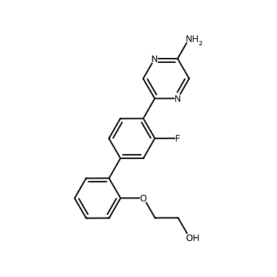 Nc1cnc(-c2ccc(-c3ccccc3OCCO)cc2F)cn1